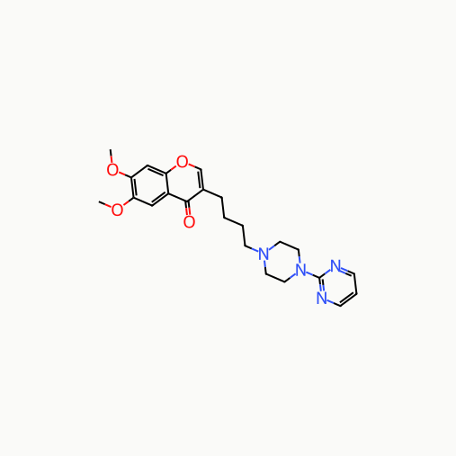 COc1cc2occ(CCCCN3CCN(c4ncccn4)CC3)c(=O)c2cc1OC